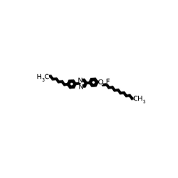 CCCCCCCCCCC(F)COc1ccc(-c2cnc(-c3ccc(CCCCCCC)cc3)nc2)cc1